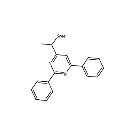 CSC(C)c1cc(-c2ccccc2)nc(-c2ccccc2)n1